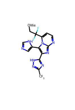 COCC(F)(F)c1ccnc2nc(-c3nc(C(F)(F)F)n[nH]3)c(-c3cnc[nH]3)n12